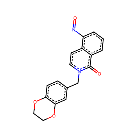 O=Nc1cccc2c(=O)n(Cc3ccc4c(c3)OCCO4)ccc12